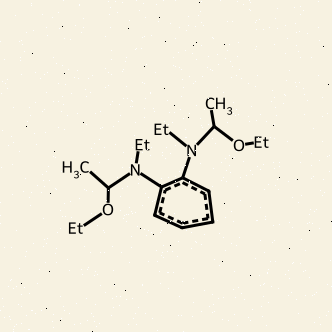 CCOC(C)N(CC)c1ccccc1N(CC)C(C)OCC